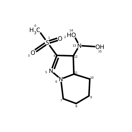 CS(=O)(=O)C1=NN2CCCCC2C1N(O)O